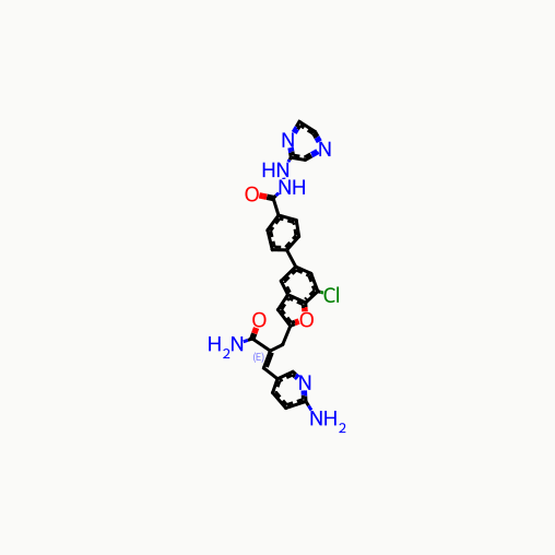 NC(=O)/C(=C/c1ccc(N)nc1)Cc1cc2cc(-c3ccc(C(=O)NNc4cnccn4)cc3)cc(Cl)c2o1